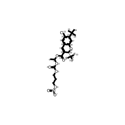 CC(OC(=O)OCCCO[N+](=O)[O-])OC(=O)C1=Cc2cc(Cl)c(C(C)(C)C)cc2O[C@@H]1C(F)(F)F